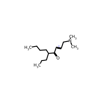 CCCCC(CCC)C(=O)/C=C/CN(C)C